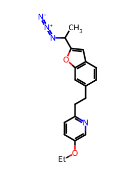 CCOc1ccc(CCc2ccc3cc(C(C)N=[N+]=[N-])oc3c2)nc1